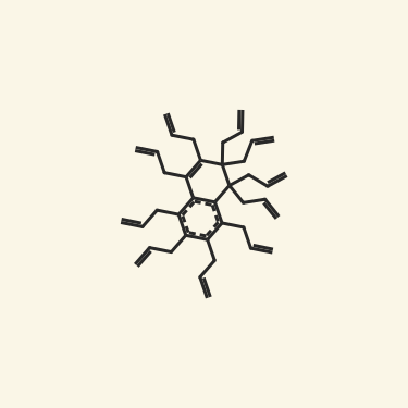 C=CCC1=C(CC=C)C(CC=C)(CC=C)C(CC=C)(CC=C)c2c(CC=C)c(CC=C)c(CC=C)c(CC=C)c21